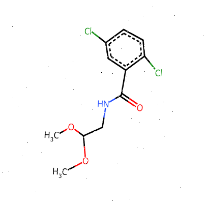 COC(CNC(=O)c1cc(Cl)ccc1Cl)OC